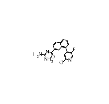 NC(N)=NC(=O)c1ccc2cccc(-c3cc(Cl)ncc3F)c2c1